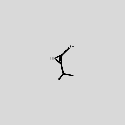 CC(C)C1=C(S)N1